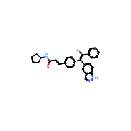 CCC(=C(c1ccc(C=CC(=O)NC2CCCC2)cc1)c1ccc2[nH]ncc2c1)c1ccccc1